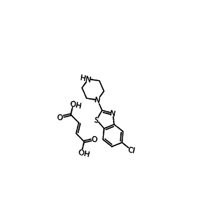 Clc1ccc2sc(N3CCNCC3)nc2c1.O=C(O)/C=C/C(=O)O